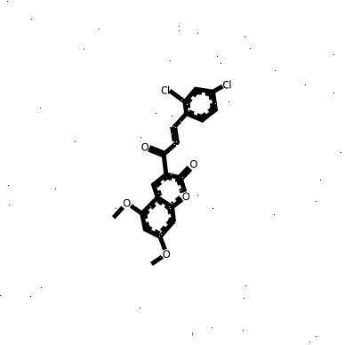 COc1cc(OC)c2cc(C(=O)/C=C/c3ccc(Cl)cc3Cl)c(=O)oc2c1